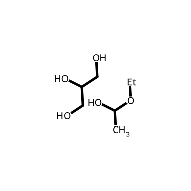 CCOC(C)O.OCC(O)CO